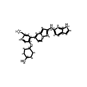 Cc1cc(-c2ccn3nc(Nc4ccc5cc[nH]c5n4)cc3c2)c(OC2CCC(O)CC2)cn1